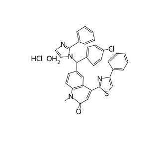 Cl.Cn1c(=O)cc(-c2nc(-c3ccccc3)cs2)c2cc(C(c3ccc(Cl)cc3)n3ccnc3-c3ccccc3)ccc21.O